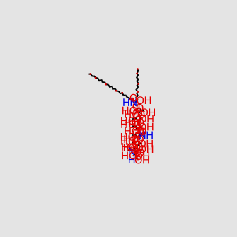 CCCCCCCCCCCCC/C=C/[C@@H](O)[C@H](CO[C@@H]1OC(CO)[C@@H](O[C@@H]2OC(CO)[C@H](O)[C@H](O[C@H]3OC(CO)[C@H](O)[C@H](O[C@@H]4OC(CO)[C@H](O)[C@H](O[C@@H]5OC(CO)[C@H](O)[C@H](O[C@]6(C(=O)O)CC(O)[C@@H](NC(C)=O)C([C@H](O)[C@H](O)CO)O6)C5O)C4NC(C)=O)C3O)C2O)[C@H](O)C1O)NC(=O)CCCCCCCCCCCCCCCCCCCCCCCCC